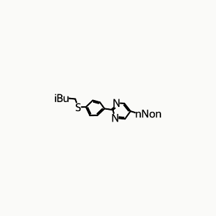 CCCCCCCCCc1cnc(-c2ccc(SCC(C)CC)cc2)nc1